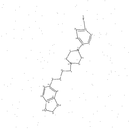 Fc1ccc(N2CCN(CCCCc3ccc4c(c3)OCO4)CC2)cc1